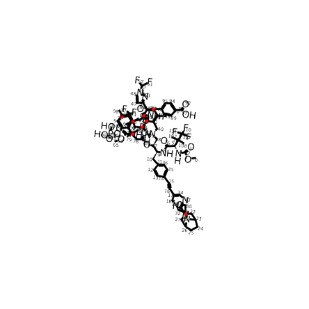 COC(=O)N[C@H](C(=O)N[C@@H](Cc1ccc(C#Cc2cnc(N3CC4CCC(C3)N4C3COC3)nc2)cc1)[C@H](CN(Cc1c(F)cc(-c2ccn(C(F)F)n2)cc1F)NC(=O)[C@@H](NC(=O)OC)C(C)(C)C(F)(F)F)OC(=O)CC(C)(C)c1c(CC(=O)NCc2ccc(C(=O)O)cc2)cc(C)cc1OP(=O)(O)O)C(C)(C)C(F)(F)F